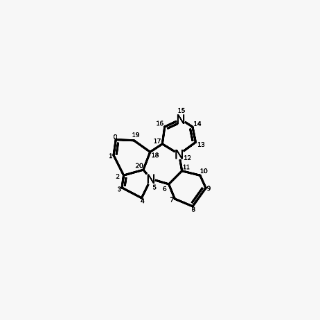 C1=CC2=CCN3C4CC=CCC4N4C=CN=CC4C(C1)C23